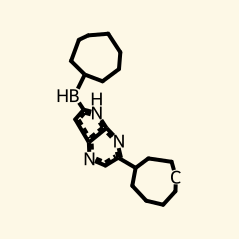 B(c1cc2ncc(C3CCCCCCC3)nc2[nH]1)C1CCCCCCC1